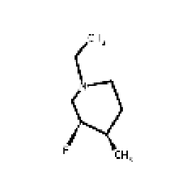 CCN1CC[C@@H](C)[C@@H](F)C1